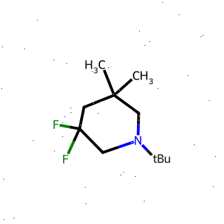 CC1(C)CN(C(C)(C)C)CC(F)(F)C1